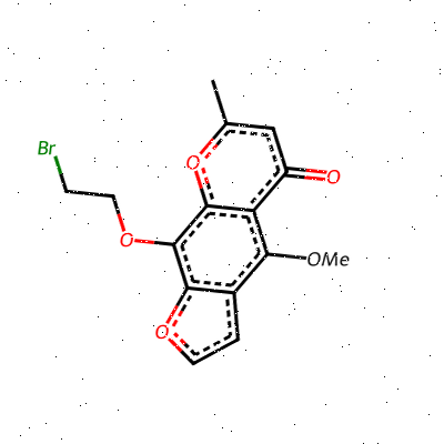 COc1c2ccoc2c(OCCBr)c2oc(C)cc(=O)c12